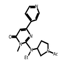 CCN(c1nc(-c2ccncc2)cc(=O)n1C)C1CCN(C(C)=O)C1